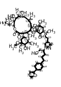 CC[C@H]1OC(=O)[C@H](C)[C@@H](C2C[C@@](C)(OC)[C@@H](O)[C@H](C)O2)[C@H](C)[C@@H](O[C@@H]2O[C@H](C)C[C@H](N(C)CCc3cn([C@H](CO)CCCc4ccc(-c5cnco5)cc4)nn3)[C@H]2O)[C@](C)(O)C[C@@H](C)CN(C)[C@H](C)[C@@H](O)[C@]1(C)O